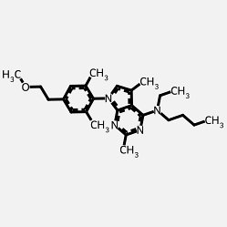 CCCCN(CC)c1nc(C)nc2c1c(C)cn2-c1c(C)cc(CCOC)cc1C